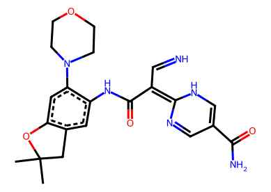 CC1(C)Cc2cc(NC(=O)/C(C=N)=C3\N=CC(C(N)=O)=CN3)c(N3CCOCC3)cc2O1